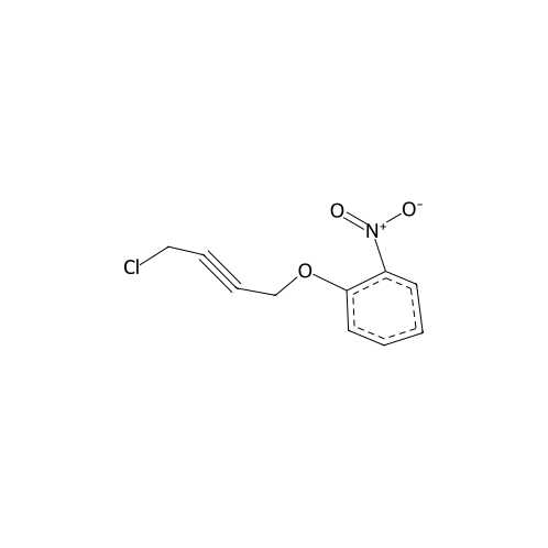 O=[N+]([O-])c1ccccc1OCC#CCCl